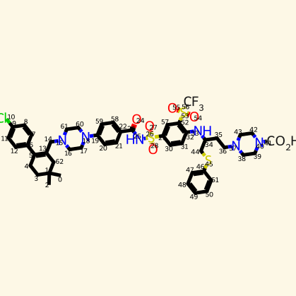 CC1(C)CCC(c2ccc(Cl)cc2)=C(CN2CCN(c3ccc(C(=O)NS(=O)(=O)c4ccc(NC(CCN5CCN(C(=O)O)CC5)CSc5ccccc5)c(S(=O)(=O)C(F)(F)F)c4)cc3)CC2)C1